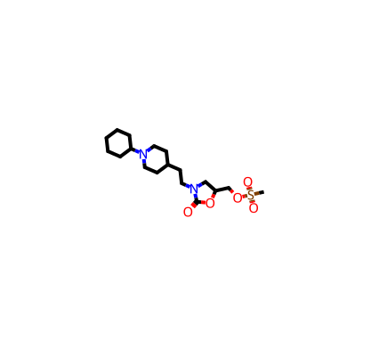 CS(=O)(=O)OCC1CN(CCC2CCN(C3CCCCC3)CC2)C(=O)O1